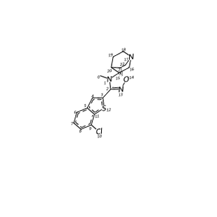 CN1C(c2cc3cccc(Cl)c3s2)=NO[C@]12CN1CCC2CC1